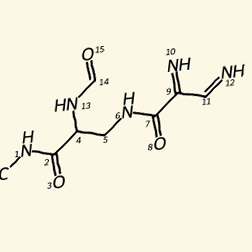 CNC(=O)C(CNC(=O)C(=N)C=N)NC=O